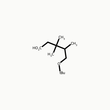 CC(COC(C)(C)C)C(C)(C)CC(=O)O